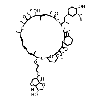 CO[C@@H]1C[C@H](C[C@@H](C)[C@@H]2CC(=O)[C@H](C)/C=C(\C)[C@@H](O)[C@@H](OC)C(=O)[C@H](C)C[C@H](C)/C=C/C=C/C=C(\C)[C@@H](OCCO[C@@H]3CO[C@H]4[C@@H]3OC[C@@H]4O)C[C@@H]3CC[C@@H](C)[C@@](O)(O3)C(=O)C(=O)N3CCCC[C@H]3C(=O)O2)CC[C@H]1O